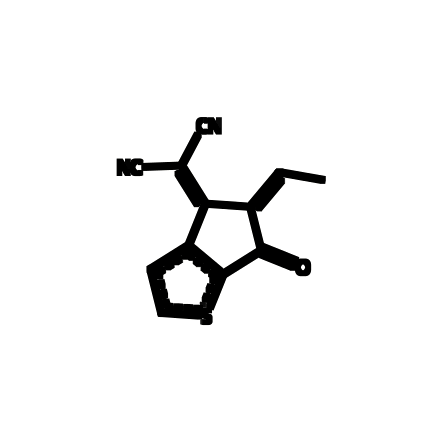 C/C=C1\C(=O)c2sccc2C1=C(C#N)C#N